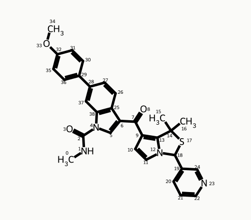 CNC(=O)n1cc(C(=O)c2ccn3c2C(C)(C)SC3c2cccnc2)c2ccc(-c3ccc(OC)cc3)cc21